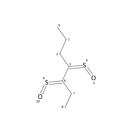 CCCC(=S=O)C(CC)=S=O